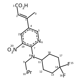 CC(=CC(=O)O)c1cnc(N(CC(C)C)C2CCC(F)(F)CC2)c([N+](=O)[O-])c1